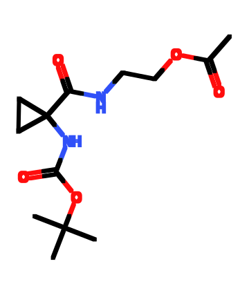 CC(=O)OCCNC(=O)C1(NC(=O)OC(C)(C)C)CC1